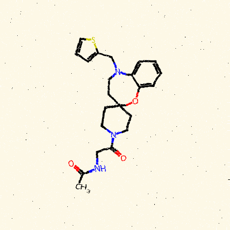 CC(=O)NCC(=O)N1CCC2(CC1)CCN(Cc1cccs1)c1ccccc1O2